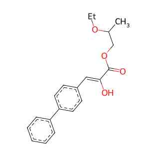 CCOC(C)COC(=O)C(O)=Cc1ccc(-c2ccccc2)cc1